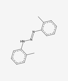 Cc1ccccc1N=NNc1ccccc1C